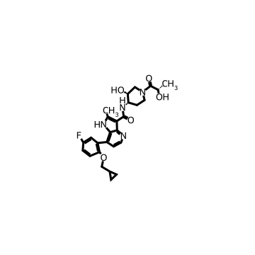 Cc1[nH]c2c(-c3cc(F)ccc3OCC3CC3)ccnc2c1C(=O)N[C@H]1CCN(C(=O)[C@H](C)O)C[C@@H]1O